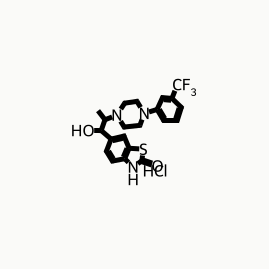 CC(C(O)c1ccc2[nH]c(=O)sc2c1)N1CCN(c2cccc(C(F)(F)F)c2)CC1.Cl